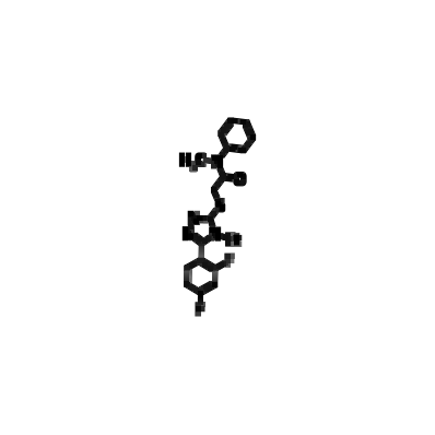 CCn1c(SCC(=O)N(C)c2ccccc2)nnc1-c1ccc(F)cc1F